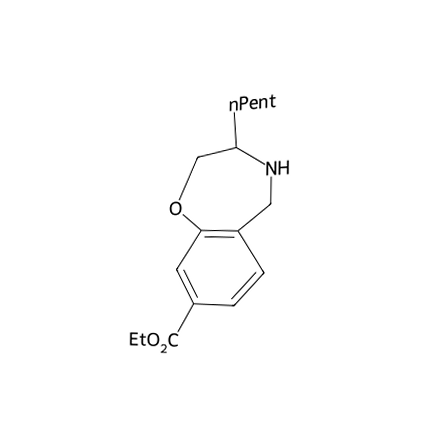 CCCCCC1COc2cc(C(=O)OCC)ccc2CN1